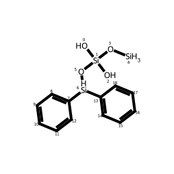 O[Si](O)(O[SiH3])O[SiH](c1ccccc1)c1ccccc1